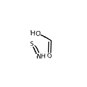 N=S.O=CO